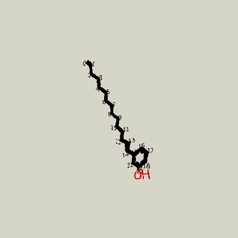 CCCCCCCCCCCCCC=Cc1cccc(O)c1